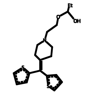 CCC(O)OCCN1CCC(=C(c2cccs2)c2cccs2)CC1